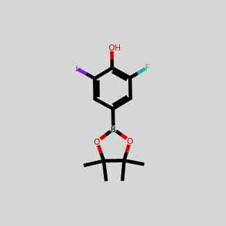 CC1(C)OB(c2cc(F)c(O)c(I)c2)OC1(C)C